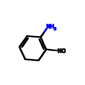 NC1=C(N=O)CCC=C1